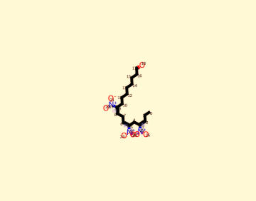 CC/C=C(\C/C(=C\C/C=C(\CCCCCCC[C]=O)[N+](=O)[O-])[N+](=O)[O-])[N+](=O)[O-]